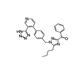 CCCCc1nc(C(=O)c2ccccc2)nn1Cc1ccc(-c2ccncc2-c2nnn[nH]2)cc1